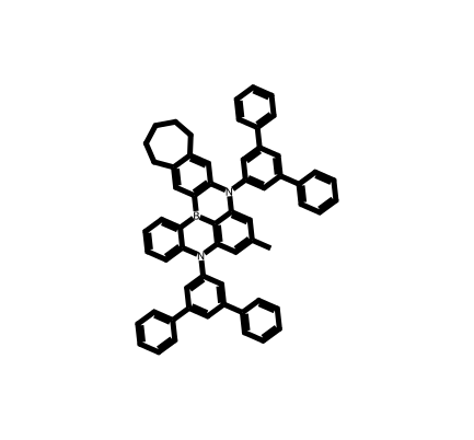 Cc1cc2c3c(c1)N(c1cc(-c4ccccc4)cc(-c4ccccc4)c1)c1cc4c(cc1B3c1ccccc1N2c1cc(-c2ccccc2)cc(-c2ccccc2)c1)CCCCC4